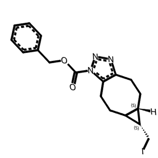 O=C(OCc1ccccc1)n1nnc2c1CCC1[C@@H](CI)[C@H]1CC2